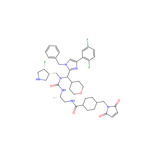 C[C@@H](CNC(=O)C1CCC(CN2C(=O)C=CC2=O)CC1)NC(=O)N(C[C@@H]1CNC[C@@H]1F)C(c1nc(-c2cc(F)ccc2F)cn1Cc1ccccc1)C1CCOCC1